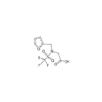 O=C(O)CN(Cc1ccco1)S(=O)(=O)C(F)(F)F